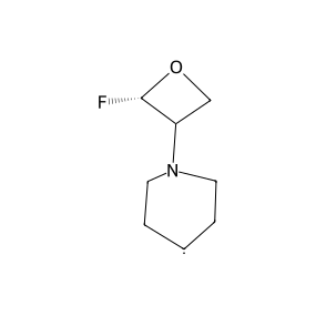 F[C@@H]1OCC1N1CC[CH]CC1